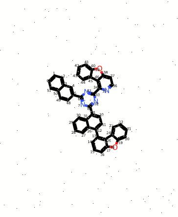 c1ccc2cc(-c3nc(-c4ccc(-c5cccc6oc7ccccc7c56)c5ccccc45)nc(-c4nccc5oc6ccccc6c45)n3)ccc2c1